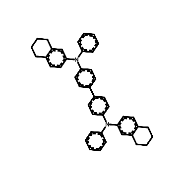 c1ccc(N(c2ccc(-c3ccc(N(c4ccccc4)c4ccc5c(c4)CCCC5)cc3)cc2)c2ccc3c(c2)CCCC3)cc1